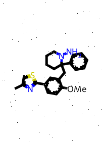 COc1ccc(-c2nc(C)cs2)cc1CC1(c2ccccc2)CCCCN1N